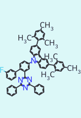 Cc1cc(C)c(-c2ccc3c(c2)c2cc(-c4c(C)cc(C)cc4C)ccc2n3-c2ccc(-c3cccc(F)c3)c(-c3nc(-c4ccccc4)nc(-c4ccccc4)n3)c2)c(C)c1